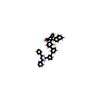 c1ccc(-c2cc(-c3ccccc3)nc(-c3cccc(-c4cccc(-c5cccc6c5Sc5cc7ccccc7cc5C65c6ccccc6-c6ccccc65)c4)c3)n2)cc1